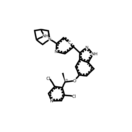 C[C@@H](Oc1ccc2[nH]nc(-c3ccc(N4CC5CC(C4)N5)nc3)c2c1)c1c(Cl)cncc1Cl